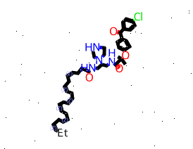 CC/C=C\C/C=C\C/C=C\C/C=C\C/C=C\C/C=C\CCC(=O)NCC(CNC(=O)C(C)(C)Oc1ccc(C(=O)c2ccc(Cl)cc2)cc1)N1CCNCC1